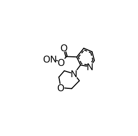 O=NOC(=O)c1cccnc1N1CCOCC1